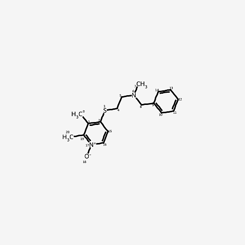 Cc1c(SCCN(C)Cc2ccccc2)cc[n+]([O-])c1C